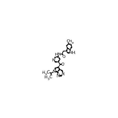 Cc1ccc2[nH]cc(CC(=O)Nc3cncc(C(=O)c4cn(C(C)C)c5ncncc45)c3)c2c1